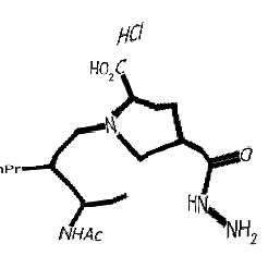 CCCC(CN1CC(C(=O)NN)CC1C(=O)O)C(C)NC(C)=O.Cl